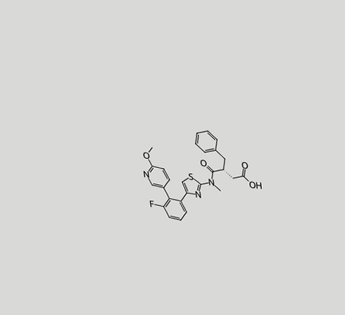 COc1ccc(-c2c(F)cccc2-c2csc(N(C)C(=O)[C@@H](CC(=O)O)Cc3ccccc3)n2)cn1